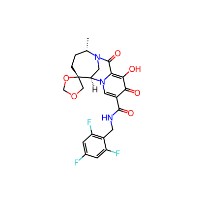 C[C@H]1CC[C@]2(COCO2)[C@H]2CN1C(=O)c1c(O)c(=O)c(C(=O)NCc3c(F)cc(F)cc3F)cn12